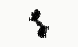 COC(=O)N[C@H](C(=O)N1CCC[C@H]1c1nc(CCc2ccc(CCc3c[nH]c([C@@H]4CCCN4C(=O)[C@@H](NC(=O)O)C(C)C)n3)cc2)c[nH]1)C(C)C